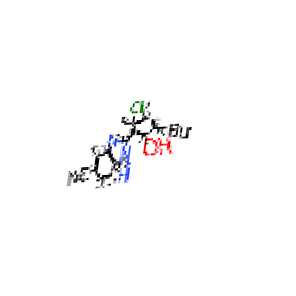 Cc1c(Cl)cc(C(C)(C)C)c(O)c1-c1nc2cc(C#N)ccc2[nH]1